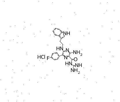 Cl.N=C(N)NC(=O)c1nc(-c2ccc(F)cc2)c(NCCc2c[nH]c3ccccc23)nc1N